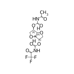 CC(=O)NC(=O)O[C@@H]1CO[C@H]2[C@@H]1OC[C@@H]2OC(=O)NC(=O)C(F)(F)F